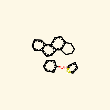 Oc1ccccc1.c1ccc2c(c1)ccc1c3c(ccc12)CCCC3.c1ccsc1